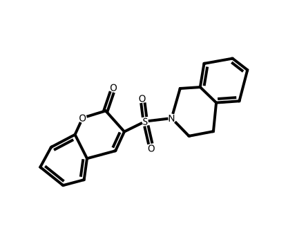 O=c1oc2ccccc2cc1S(=O)(=O)N1CCc2ccccc2C1